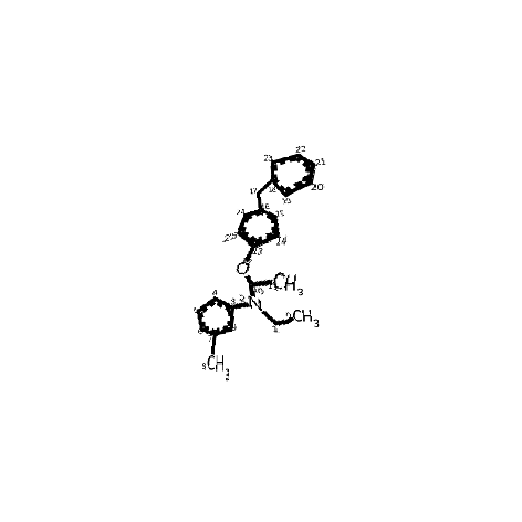 CCN(c1cccc(C)c1)C(C)Oc1ccc(Cc2ccccc2)cc1